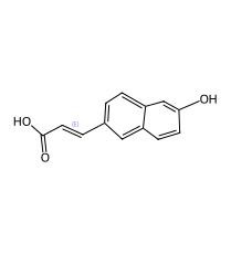 O=C(O)/C=C/c1ccc2cc(O)ccc2c1